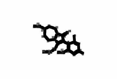 CCOC(=O)Oc1c(-c2c(C)cc(C)cc2OC)c(=O)n2n1CCN(OC)CC2